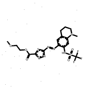 COCCOC(=O)c1nnc(N=Nc2cc3c(cc2NS(=O)(=O)C(F)(F)F)N(C)CCC3)s1